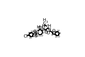 CC(C)C[C@H](NC(=O)c1cc2ccccc2o1)C(=O)NC1CCCN(S(=O)(=O)c2ccc(Cl)cc2)CC1=O